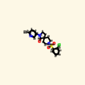 CCc1ccc(N2CCC3(CCN(S(=O)(=O)c4ccccc4Cl)CC3)C2=O)cn1